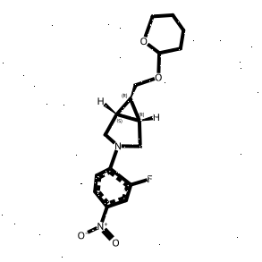 O=[N+]([O-])c1ccc(N2C[C@@H]3[C@@H](COC4CCCCO4)[C@@H]3C2)c(F)c1